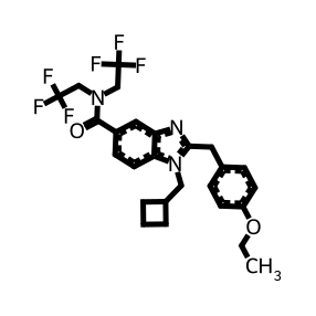 CCOc1ccc(Cc2nc3cc(C(=O)N(CC(F)(F)F)CC(F)(F)F)ccc3n2CC2CCC2)cc1